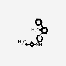 C=CC1CC(NC2CCN(c3cccc(-c4ccccc4)c3C)CC2)C1